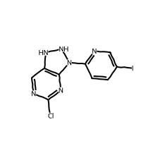 Clc1ncc2c(n1)N(c1ccc(I)cn1)NN2